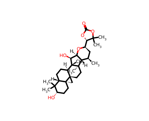 C[C@@H]1C[C@H]([C@@H]2OC(=O)OC2(C)C)O[C@H]2[C@H]1[C@@]1(C)CC[C@@]34C[C@@]35CC[C@H](O)C(C)(C)[C@@H]5CC[C@H]4[C@]1(C)[C@H]2O